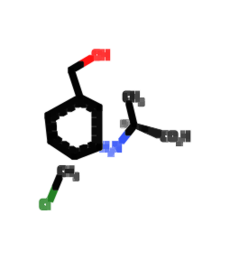 CCl.C[C@H](N)C(=O)O.OCc1ccccc1